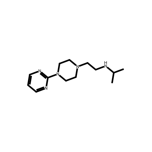 CC(C)NCCN1CCN(c2ncccn2)CC1